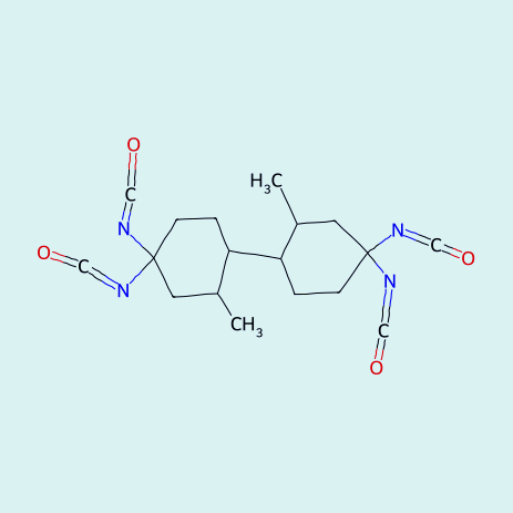 CC1CC(N=C=O)(N=C=O)CCC1C1CCC(N=C=O)(N=C=O)CC1C